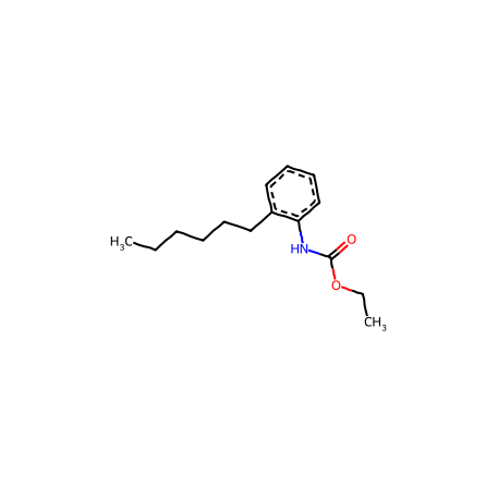 CCCCCCc1ccccc1NC(=O)OCC